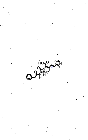 Cc1ncsc1/C=C/C1=C(C(=O)O)N2C(=O)[C@@H](NC(=O)Cc3ccccc3)[C@H]2SC1